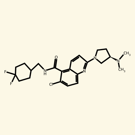 CN(C)[C@@H]1CCN(c2ccc3c(C(=O)NCC4CCC(F)(F)CC4)c(Cl)ccc3n2)C1